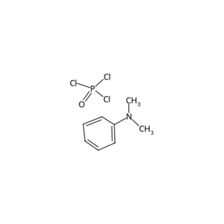 CN(C)c1ccccc1.O=P(Cl)(Cl)Cl